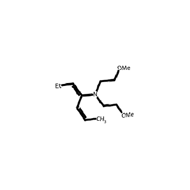 C/C=C\C(=C/CC)N(CCOC)CCOC